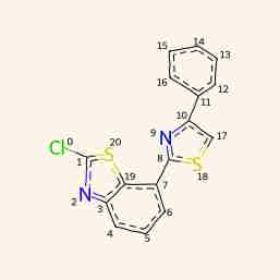 Clc1nc2cccc(-c3nc(-c4ccccc4)cs3)c2s1